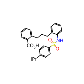 CC(C)c1ccc(S(=O)(=O)Nc2ccccc2CCCc2ccccc2C(=O)O)cc1